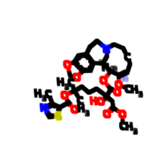 COC(=O)C[C@](O)(CCCC(C)(C)OC(=O)c1scnc1C)C(=O)O[C@@H]1/C(OC)=C\CCCCN2CCc3cc4c(cc3[C@H]1C2)OCO4